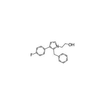 OCCn1ccc(-c2ccc(F)cc2)c1Cc1ccccc1